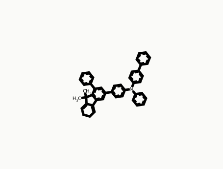 CC1(C)C2=CCCC=C2c2cc(-c3ccc(N(c4ccccc4)c4ccc(-c5ccccc5)cc4)cc3)cc(-c3ccccc3)c21